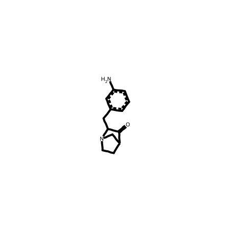 Nc1cccc(CC2C(=O)C3CCN2C3)c1